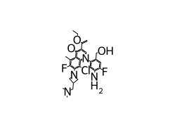 C=C(OCC)c1cn(-c2cc(N)c(F)cc2CO)c2c(Cl)c(N3CC(CN(C)C)C3)c(F)c(C)c2c1=O